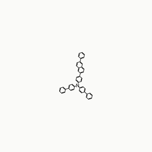 c1ccc(-c2ccc(N(c3ccc(-c4ccccc4)cc3)c3ccc(-c4ccc5cc(-c6ccccc6)ccc5c4)cc3)cc2)cc1